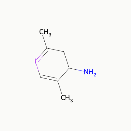 CC1=CI=C(C)CC1N